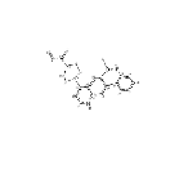 C=CC(=C)N1CCN(c2ncnc3cc(-c4ccccc4F)c(OC)cc23)CC1